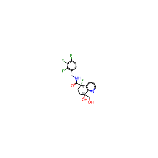 O=C(NCc1ccc(F)c(F)c1F)[C@]1(F)CC[C@@](O)(CO)c2ncccc21